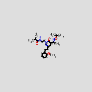 COc1ccccc1CCc1cc(/C(C)=N/OC(C)C)c(=O)n(CCNC(=O)C(C)C)n1